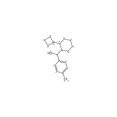 OC(c1ccc(C(F)(F)F)cc1)C1CCCCC1N1CCC1